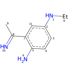 CCNc1ccc(N)c(C(C)=N)c1